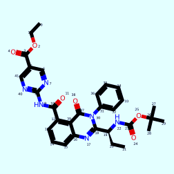 CCOC(=O)c1cnc(NC(=O)c2cccc3nc([C@H](CC)NC(=O)OC(C)(C)C)n(-c4ccccc4)c(=O)c23)nc1